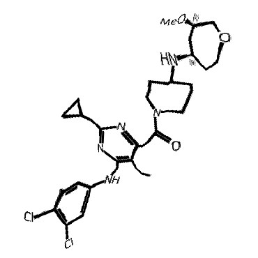 CO[C@H]1COCC[C@H]1NC1CCN(C(=O)c2nc(C3CC3)nc(Nc3ccc(Cl)c(Cl)c3)c2C)CC1